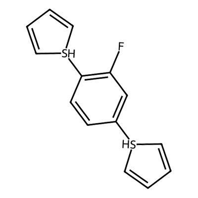 Fc1cc([SH]2C=CC=C2)ccc1[SH]1C=CC=C1